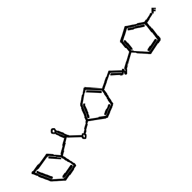 O=C(Oc1ccc(/C=N/c2ccc(F)cc2)cc1)c1ccccc1